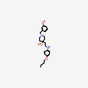 CCCCOc1ccc(N(C)CCC2(O)CCN(Cc3cccc(OC)c3)CC2)cc1